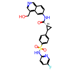 O=C(Nc1ccc2cncc(CO)c2c1)[C@@H]1CC1c1ccc(S(=O)(=O)Nc2ccc(F)cn2)cc1